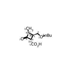 CCCCOC[C@H]1[C@H](C(=O)O)C(=O)N1C